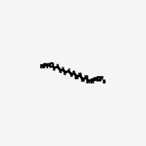 CCCOCCCCCCCCCCCCCC#CC(F)(F)F